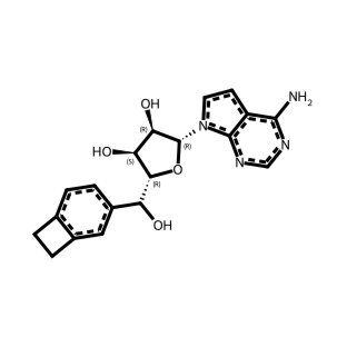 Nc1ncnc2c1ccn2[C@@H]1O[C@H](C(O)c2ccc3c(c2)CC3)[C@@H](O)[C@H]1O